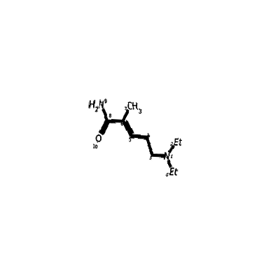 CCN(CC)CC/C=C(\C)C(N)=O